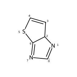 [C]1=NC2C=CSC2=N1